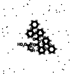 NC(CS)C(=O)O.O=C(OC(=O)c1ccccc1-c1ccccc1C1CCCCC1)c1ccccc1-c1ccccc1C1CCCCC1